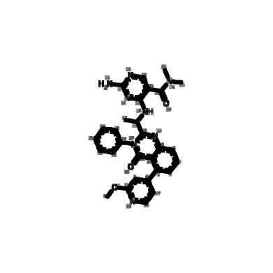 COc1cc(-c2cccc3nc(C(C)Nc4nc(N)ncc4C(=O)N(C)C)n(-c4ccccc4)c(=O)c23)ccn1